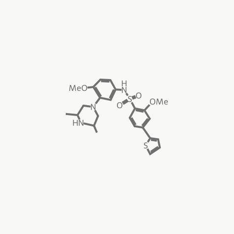 COc1ccc(NS(=O)(=O)c2ccc(-c3cccs3)cc2OC)cc1N1CC(C)NC(C)C1